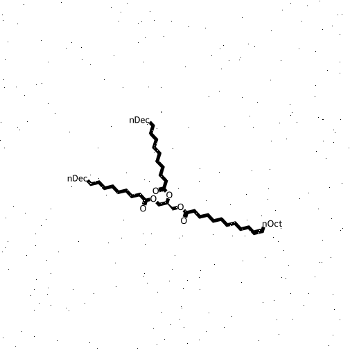 CCCCCCCC/C=C\CCCCCCCCCC(=O)OC[C@@H](COC(=O)CCCCCCCCCCCCCCCCCC)OC(=O)CCCCCCCCCCCCCCCCCCC